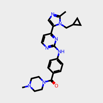 Cc1ncc(-c2ccnc(Nc3ccc(C(=O)N4CCN(C)CC4)cc3)n2)n1CC1CC1